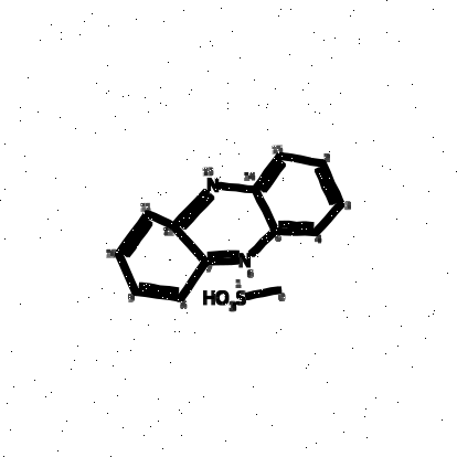 CS(=O)(=O)O.c1ccc2nc3ccccc3nc2c1